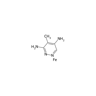 Cc1c(N)cnnc1N.[Fe]